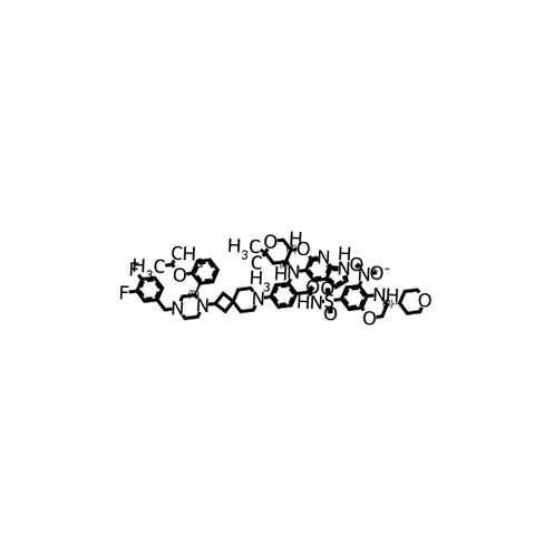 CC(C)Oc1ccccc1[C@@H]1CN(Cc2ccc(F)c(F)c2)CCN1C1CC2(CCN(c3ccc(C(=O)NS(=O)(=O)c4cc5c(c([N+](=O)[O-])c4)N[C@H](C4CCOCC4)CO5)c(N4c5cc6cc[nH]c6nc5O[C@@H]5COC(C)(C)C[C@H]54)c3)CC2)C1